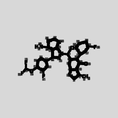 Cc1csc2cc([C@H](C)n3nc(-c4ccc(OC(F)F)c(F)c4)c4c(N)ncnc43)c(-c3cccc(F)c3)c(=O)n12